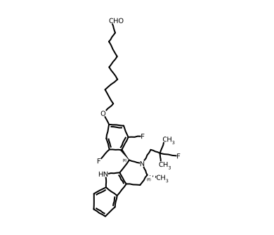 C[C@@H]1Cc2c([nH]c3ccccc23)[C@@H](c2c(F)cc(OCCCCCCCC=O)cc2F)N1CC(C)(C)F